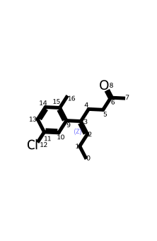 CC/C=C(/CCC(C)=O)c1cc(Cl)ccc1C